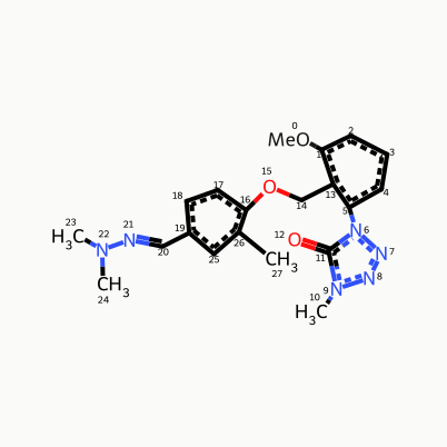 COc1cccc(-n2nnn(C)c2=O)c1COc1ccc(C=NN(C)C)cc1C